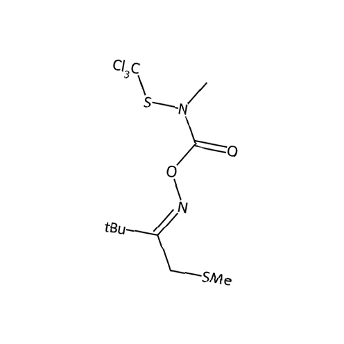 CSCC(=NOC(=O)N(C)SC(Cl)(Cl)Cl)C(C)(C)C